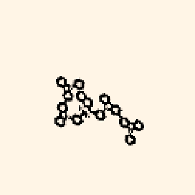 c1ccc(-n2c3ccccc3c3cc(-c4ccc5c6ccccc6n(-c6cccc(-c7nc(-c8cccc(-n9c%10ccccc%10c%10ccc(-c%11ccc%12c(c%11)c%11ccccc%11n%12-c%11ccccc%11)cc%109)c8)c8ccc9ccccc9c8n7)c6)c5c4)ccc32)cc1